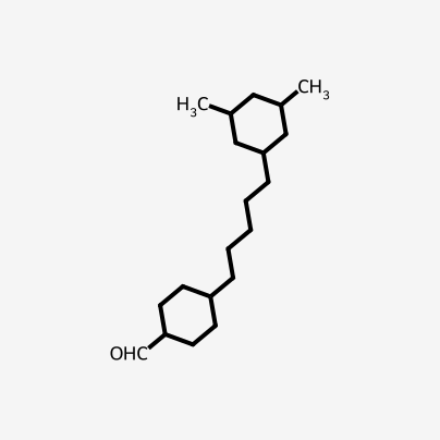 CC1CC(C)CC(CCCCCC2CCC(C=O)CC2)C1